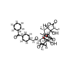 C[C@@H]1C(=O)O[C@H]2[C@H](C)C34C5OC(=O)[C@@]3(OC3OC(=O)[C@H](OCc6ccc(C(=O)c7ccccc7)cc6)C34[C@H](C(C)(C)C)[C@H]5O)[C@@]12O